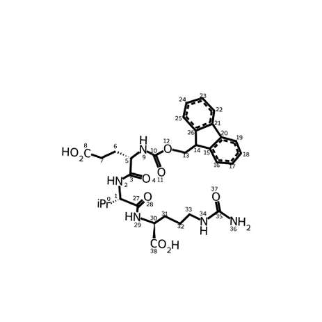 CC(C)[C@H](NC(=O)[C@H](CCC(=O)O)NC(=O)OCC1c2ccccc2-c2ccccc21)C(=O)N[C@@H](CCCNC(N)=O)C(=O)O